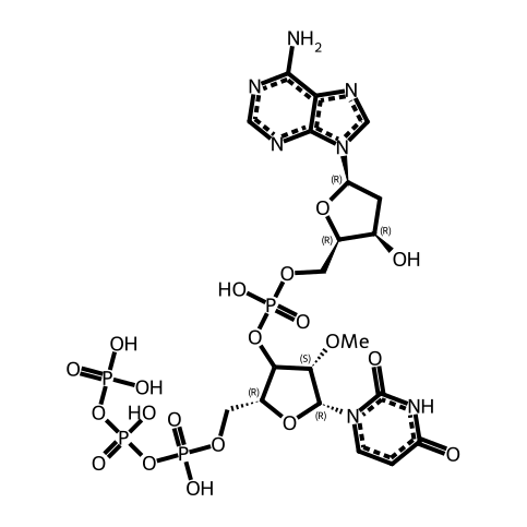 CO[C@H]1C(OP(=O)(O)OC[C@H]2O[C@@H](n3cnc4c(N)ncnc43)C[C@H]2O)[C@@H](COP(=O)(O)OP(=O)(O)OP(=O)(O)O)O[C@H]1n1ccc(=O)[nH]c1=O